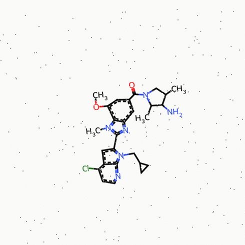 COc1cc(C(=O)N2CC(C)C(N)C2C)cc2nc(-c3cc4c(Cl)ccnc4n3CC3CC3)n(C)c12